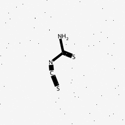 NC(=S)N=C=S